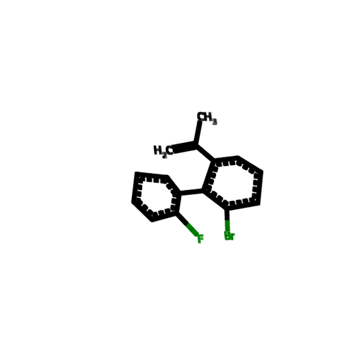 C=C(C)c1cccc(Br)c1-c1ccccc1F